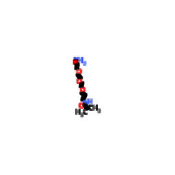 CC(C)C(=O)NCCCOCCOCCOCCCN